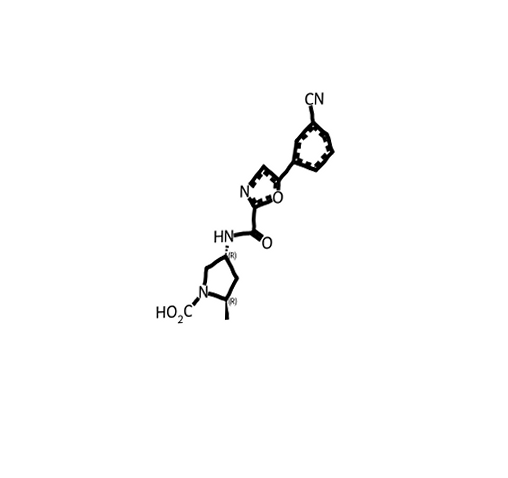 C[C@@H]1C[C@@H](NC(=O)c2ncc(-c3cccc(C#N)c3)o2)CN1C(=O)O